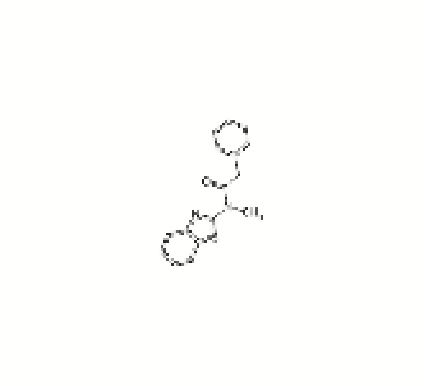 CN(C(=O)Cc1ccccc1)c1nc2ccccc2s1